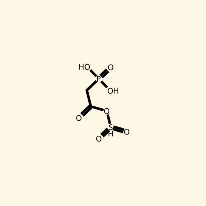 O=C(CP(=O)(O)O)O[SH](=O)=O